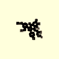 C=C/C(Cl)=C\C=C(/C)[C@H]1C(C(=O)N2CCNC(=O)C2)C(c2ccc(OC)cc2OC(C)C)=C[C@H]1c1ccc(Cl)cc1